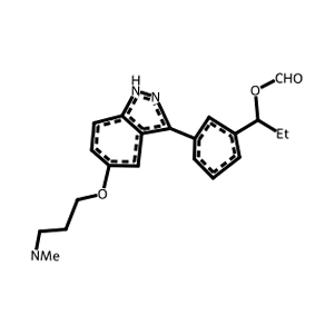 CCC(OC=O)c1cccc(-c2n[nH]c3ccc(OCCCNC)cc23)c1